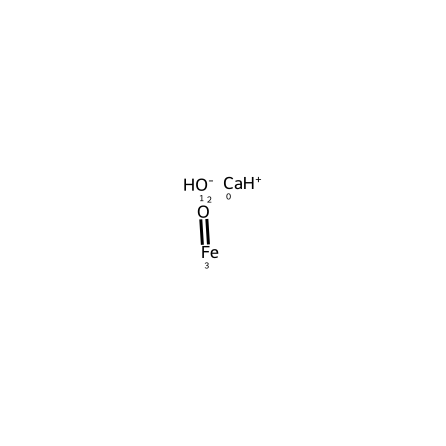 [CaH+].[OH-].[O]=[Fe]